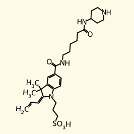 C=C/C=C1/N(CCCS(=O)(=O)O)c2ccc(C(=O)NCCCCCC(=O)NC3CCNCC3)cc2C1(C)C